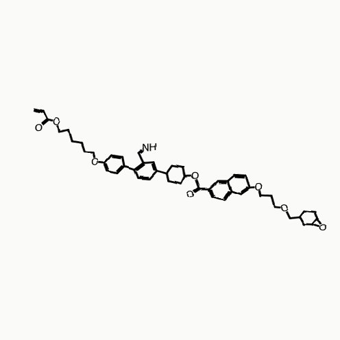 C=CC(=O)OCCCCCCOc1ccc(-c2ccc(C3CCC(OC(=O)c4ccc5cc(OCCCOCC6CCC7OC7C6)ccc5c4)CC3)cc2C=N)cc1